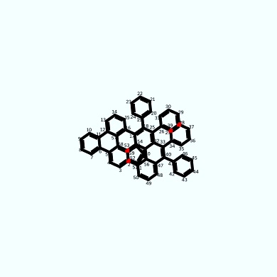 C1=Cc2ccc3c4ccccc4c4cccc(-c5c(-c6ccccc6)c(-c6ccccc6)c6c(-c7ccccc7)c(-c7ccccc7)c7cccc8ccc5c6c87)c4c3c2C1